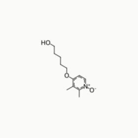 Cc1c(OCCCCCO)cc[n+]([O-])c1C